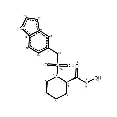 O=C(NO)[C@H]1CCCCN1S(=O)(=O)Cc1ccc2sccc2c1